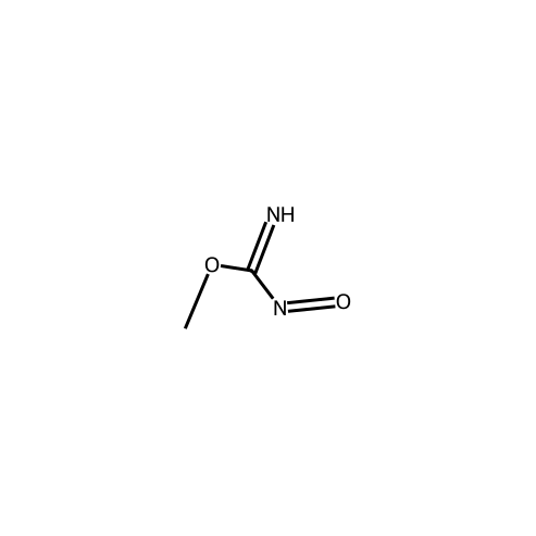 COC(=N)N=O